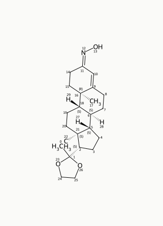 CC1([C@H]2CC[C@H]3[C@@H]4CCC5=CC(=NO)CC[C@]5(C)[C@H]4CC[C@]23C)OCCO1